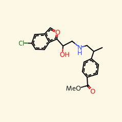 COC(=O)c1ccc(C(C)CNCC(O)c2occ3cc(Cl)ccc23)cc1